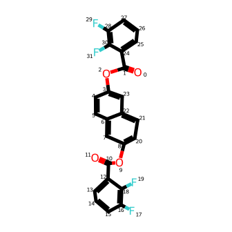 O=C(Oc1ccc2cc(OC(=O)c3cccc(F)c3F)ccc2c1)c1cccc(F)c1F